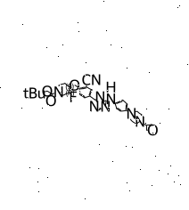 CC(C)(C)OC(=O)N1CC[C@H](Oc2ccc(-c3ncnc(Nc4ccc(N5CCN(C6COC6)CC5)cc4)n3)cc2C#N)[C@H](F)C1